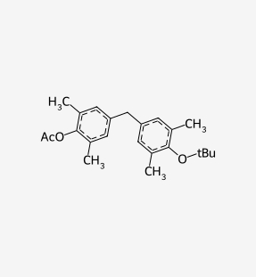 CC(=O)Oc1c(C)cc(Cc2cc(C)c(OC(C)(C)C)c(C)c2)cc1C